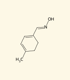 CC1=CC=C(C=NO)CC1